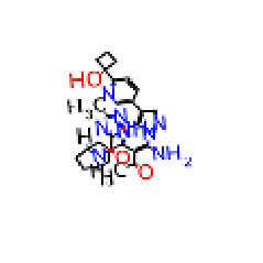 CC(=O)c1c([C@H]2C[C@H]3CC[C@@H](C2)N3C(=O)c2nc(C)n[nH]2)nc2c(-c3ccc(C4(O)CCC4)nc3)cnn2c1N